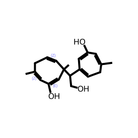 CC1=CC(O)=CC(C(CO)C2(C)/C=C\C/C(C)=C\C(O)=C/2)=CC1